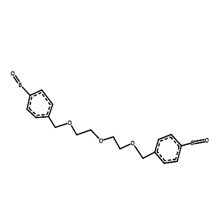 O=Bc1ccc(COCCOCCOCc2ccc(B=O)cc2)cc1